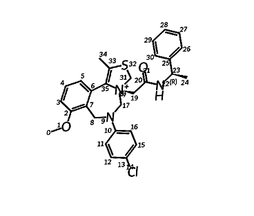 COc1cccc2c1CN(c1ccc(Cl)cc1)C[N@@+]1(CC(=O)N[C@H](C)c3ccccc3)CSC(C)=C21